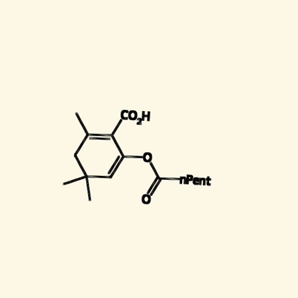 CCCCCC(=O)OC1=CC(C)(C)CC(C)=C1C(=O)O